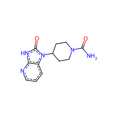 NC(=O)N1CCC(n2c(=O)[nH]c3ncccc32)CC1